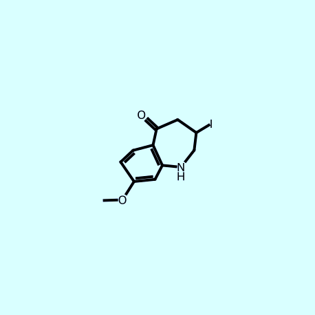 COc1ccc2c(c1)NCC(I)CC2=O